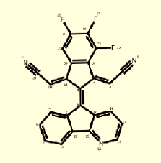 N#C/C=C1C(=C2/c3ccccc3-c3ncccc32)/C(=C/C#N)c2cc(F)c(F)c(F)c2/1